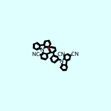 N#Cc1ccc2c(c1)c1ccccc1n2-c1cccc(-c2ccccc2-c2cccc(C#N)c2-n2c3ccccc3c3ccccc32)c1C#N